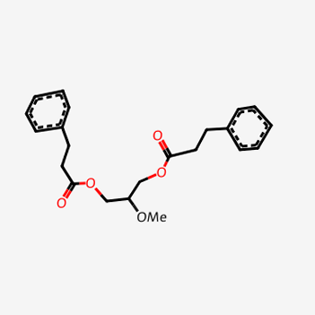 COC(COC(=O)CCc1ccccc1)COC(=O)CCc1ccccc1